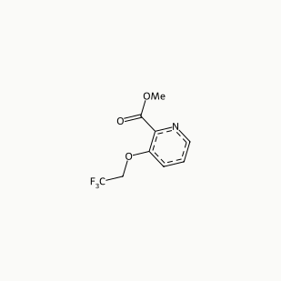 COC(=O)c1ncccc1OCC(F)(F)F